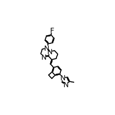 Cc1cn(-c2ccc(/C=C3\CCCN4C3=NCCN4c3ccc(F)cc3)c3c2CC3)cn1